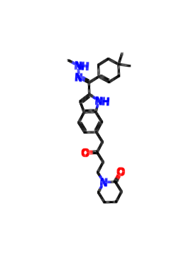 CN/N=C(\C1=CCC(C)(C)CC1)c1cc2ccc(CC(=O)CCN3CCCCC3=O)cc2[nH]1